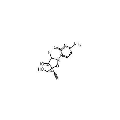 C#C[C@]1(CO)O[C@@H](n2ccc(N)nc2=O)C(F)[C@@H]1O